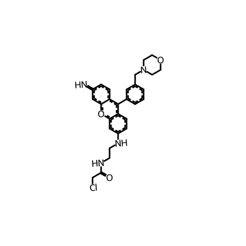 N=c1ccc2c(-c3cccc(CN4CCOCC4)c3)c3ccc(NCCNC(=O)CCl)cc3oc-2c1